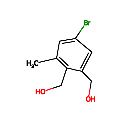 Cc1cc(Br)cc(CO)c1CO